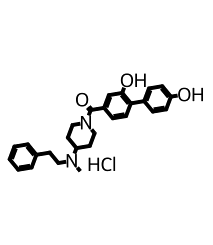 CN(CCc1ccccc1)C1CCN(C(=O)c2ccc(-c3ccc(O)cc3)c(O)c2)CC1.Cl